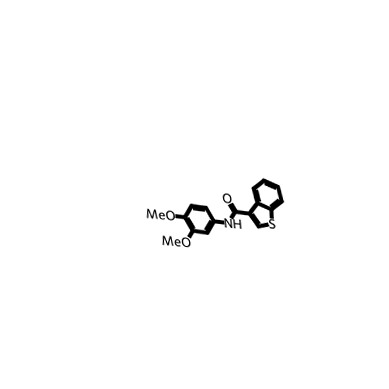 COc1ccc(NC(=O)c2csc3ccccc23)cc1OC